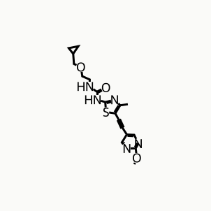 COc1ncc(C#Cc2sc(NC(=O)NCCOCC3CC3)nc2C)cn1